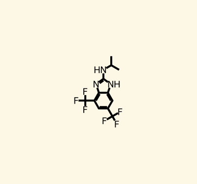 CC(C)Nc1nc2c(C(F)(F)F)cc(C(F)(F)F)cc2[nH]1